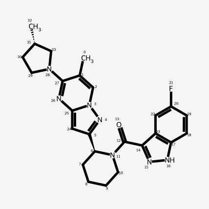 Cc1cn2nc([C@@H]3CCCCN3C(=O)c3n[nH]c4ccc(F)cc34)cc2nc1N1CC[C@H](C)C1